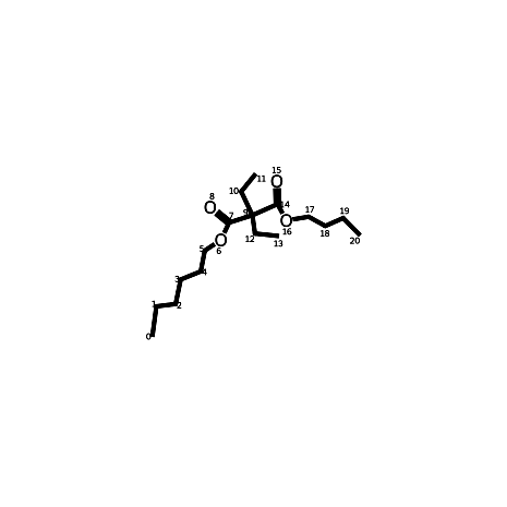 CCCCCCOC(=O)C(CC)(CC)C(=O)OCCCC